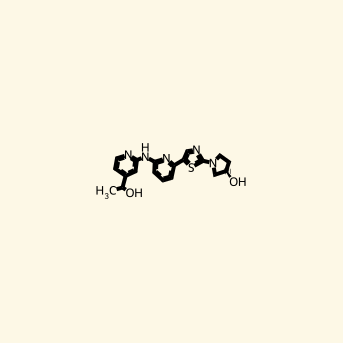 CC(O)c1ccnc(Nc2cccc(-c3cnc(N4CC[C@@H](O)C4)s3)n2)c1